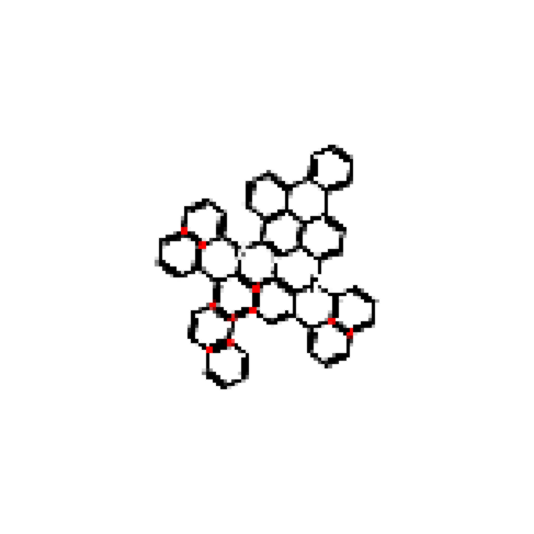 Fc1cc(-c2ccccc2)cc(-c2ccccc2)c1N(c1ccccc1)c1cc2c(N(c3ccccc3)c3c(F)cc(-c4ccccc4)cc3-c3ccccc3)ccc3c4ccccc4c4cccc1c4c23